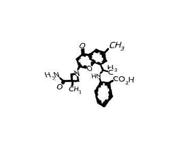 Cc1cc(C(C)Nc2ccccc2C(=O)O)c2oc(N3CC(C)(C(N)=O)C3)cc(=O)c2c1